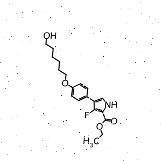 CCOC(=O)c1[nH]cc(-c2ccc(OCCCCCCO)cc2)c1F